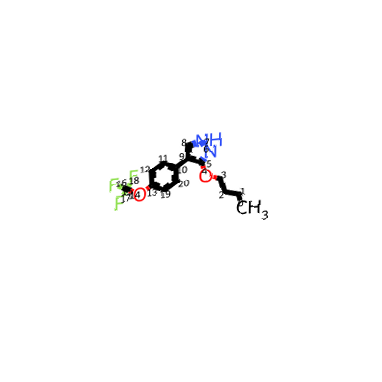 CCCCOc1n[nH]cc1-c1ccc(OC(F)(F)F)cc1